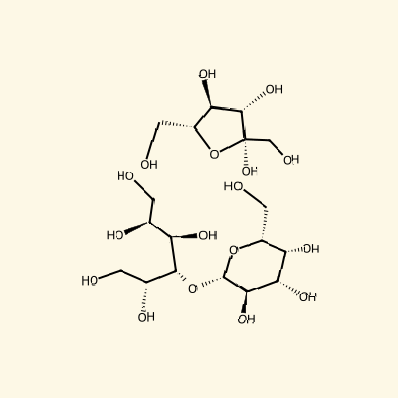 OC[C@@H](O)[C@@H](O[C@@H]1O[C@H](CO)[C@H](O)[C@H](O)[C@H]1O)[C@H](O)[C@@H](O)CO.OC[C@H]1O[C@](O)(CO)[C@@H](O)[C@@H]1O